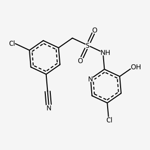 N#Cc1cc(Cl)cc(CS(=O)(=O)Nc2ncc(Cl)cc2O)c1